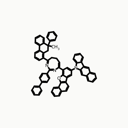 CC1(c2ccccc2)Cc2c(/C3=N/C(c4ccc(-c5ccccc5)cc4)=N\C(c4cc(-n5c6ccccc6c6cc7ccccc7cc65)cc5c4oc4c6ccccc6ccc54)=C/CC3)cccc2-c2ccccc21